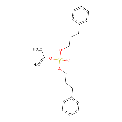 C=CC(=O)O.O=S(=O)(OCCCc1ccccc1)OCCCc1ccccc1